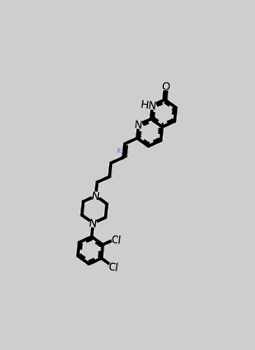 O=c1ccc2ccc(/C=C/CCCN3CCN(c4cccc(Cl)c4Cl)CC3)nc2[nH]1